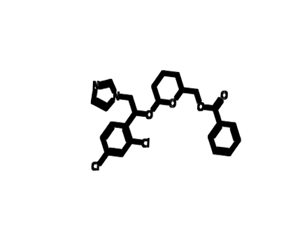 O=C(OCC1CCCC(OC(Cn2ccnc2)c2ccc(Cl)cc2Cl)O1)c1ccccc1